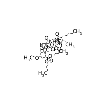 CCCCC[C@@H](C(=O)NCNC(=O)c1ccc(-c2cc(OCC)cc(P(=O)(OCCCC)OCCCC)c2)o1)[C@@H](CC)N(C=O)OC(=O)OC(C)(C)C